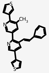 Cc1cc(-c2ncc(-c3ccsc3)cc2C=Cc2ccccc2)cnc1-c1ccsc1